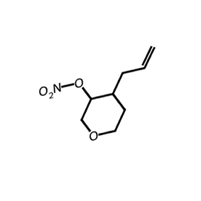 C=CCC1CCOCC1O[N+](=O)[O-]